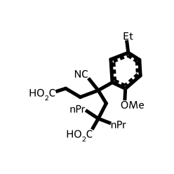 CCCC(CCC)(CC(C#N)(CCC(=O)O)c1cc(CC)ccc1OC)C(=O)O